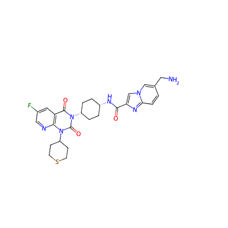 NCc1ccc2nc(C(=O)N[C@H]3CC[C@@H](n4c(=O)c5cc(F)cnc5n(C5CCSCC5)c4=O)CC3)cn2c1